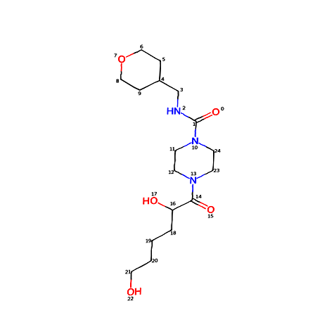 O=C(NCC1CCOCC1)N1CCN(C(=O)C(O)CCCCO)CC1